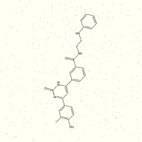 Cc1cc(-c2cc(-c3cccc(C(=O)NCCNc4ccccc4)c3)[nH]c(=O)n2)ccc1O